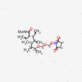 C=CC(C(=O)NC)[C@H](C=C)C(C)[C@@H](C)C(C)C(C)OCOCON1C(=O)CCC1=O